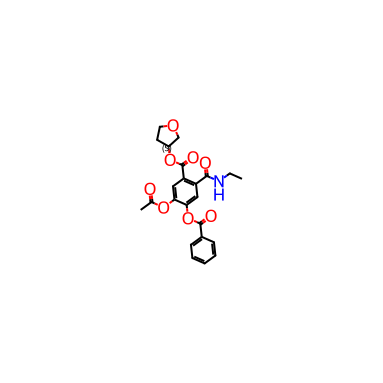 CCNC(=O)c1cc(OC(=O)c2ccccc2)c(OC(C)=O)cc1C(=O)O[C@H]1CCOC1